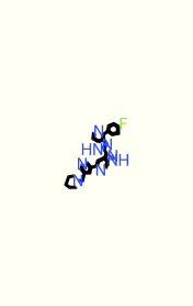 Fc1ccc(-c2nccc3[nH]c(-c4n[nH]c5cnc(-c6cncc(CN7CCCCC7)c6)cc45)nc23)cc1